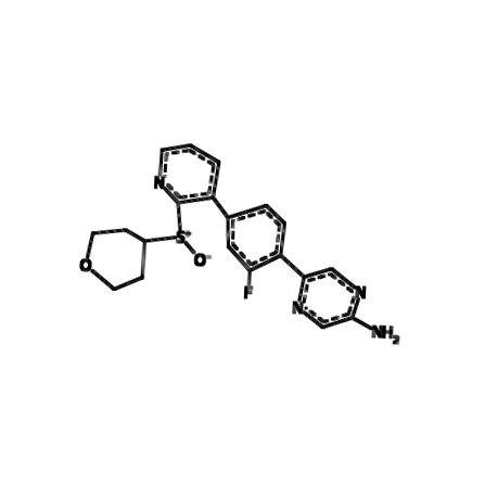 Nc1cnc(-c2ccc(-c3cccnc3[S+]([O-])C3CCOCC3)cc2F)cn1